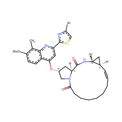 COc1ccc2c(O[C@@H]3C[C@H]4C(=O)N[C@]5(C(C)=O)C[C@H]5/C=C\CCCCCCC(=O)N4C3)cc(-c3nc(C(C)C)cs3)nc2c1C